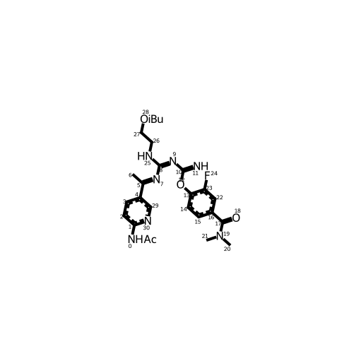 CC(=O)Nc1ccc(/C(C)=N/C(=N\C(=N)Oc2ccc(C(=O)N(C)C)cc2F)NCCOCC(C)C)cn1